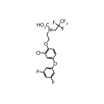 O=C(O)N(CCOc1ccc(Oc2cc(F)cc(F)c2)cc1Cl)CC(F)(F)C(F)(F)F